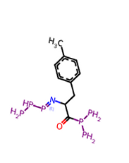 Cc1ccc(CC(/N=P/PP)C(=O)P(P)P)cc1